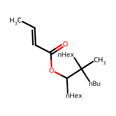 C/C=C/C(=O)OC(CCCCCC)C(C)(CCCC)CCCCCC